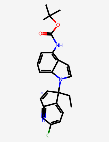 CCC(/C=C\C#N)(c1ccc(Cl)cc1)n1ccc2c(NC(=O)OC(C)(C)C)cccc21